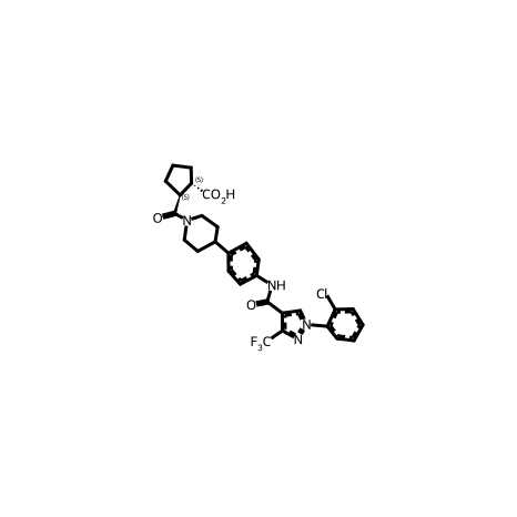 O=C(Nc1ccc(C2CCN(C(=O)[C@H]3CCC[C@@H]3C(=O)O)CC2)cc1)c1cn(-c2ccccc2Cl)nc1C(F)(F)F